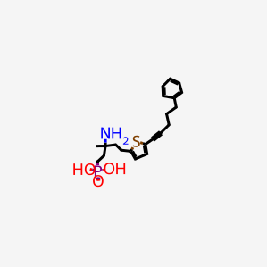 CC(N)(CCc1ccc(C#CCCCc2ccccc2)s1)CCP(=O)(O)O